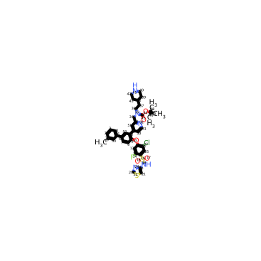 Cc1cccc(-c2ccc(Oc3cc(F)c(S(=O)(=O)Nc4cscn4)cc3Cl)c(-c3ccnc(CN(CCC4CCNCC4)C(=O)OC(C)(C)C)c3)c2)c1